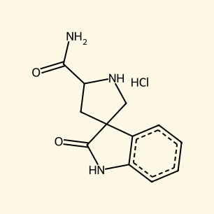 Cl.NC(=O)C1CC2(CN1)C(=O)Nc1ccccc12